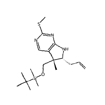 C=CC[C@H]1Nc2nc(SC)ncc2[C@@]1(C)CO[Si](C)(C)C(C)(C)C